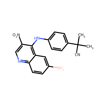 Bc1ccc2ncc([N+](=O)[O-])c(Nc3ccc(C(C)(C)C#N)cc3)c2c1